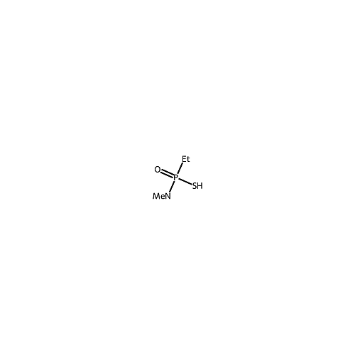 CCP(=O)(S)NC